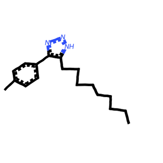 CCCCCCCCCc1[nH]nnc1-c1ccc(C)cc1